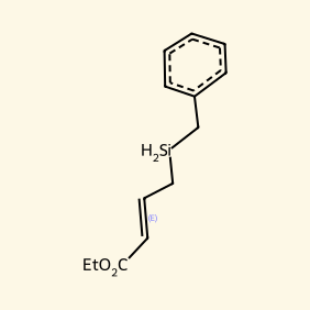 CCOC(=O)/C=C/C[SiH2]Cc1ccccc1